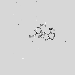 COc1ccc(N)cc1[N+](=O)[O-].Nc1cccc(F)c1[N+](=O)[O-]